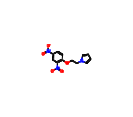 O=[N+]([O-])c1ccc(OCCn2cccc2)c([N+](=O)[O-])c1